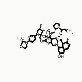 C#Cc1c(F)ccc2cc(O)cc(N3CCc4c(nc(OC[C@]5(C)C[C@@H](F)CN5c5ccc(N6CCOC[C@H]6C)nc5)nc4N(C)C[C@@H]4CCCN4C(=O)C=C)C3)c12